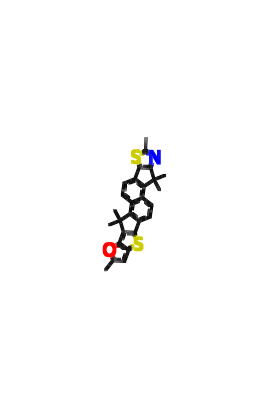 Cc1cc2sc3c(c2o1)C(C)(C)c1c-3ccc2c3c(ccc12)-c1sc(C)nc1C3(C)C